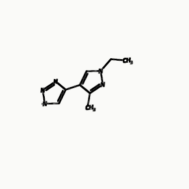 CCn1cc(C2=C[N]N=N2)c(C)n1